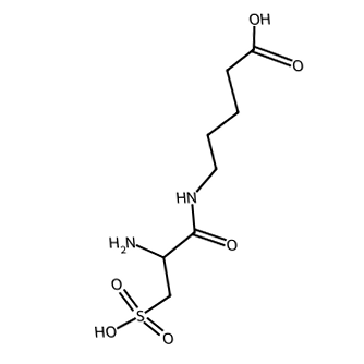 NC(CS(=O)(=O)O)C(=O)NCCCCC(=O)O